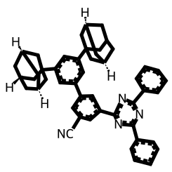 N#Cc1cc(-c2cc(C34CC5C[C@H](C3)C[C@@H](C5)C4)cc(C34C[C@H]5C[C@@H](C3)C[C@@H](C4)C5)c2)cc(-c2nc(-c3ccccc3)nc(-c3ccccc3)n2)c1